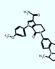 COc1ccc(-n2cc(C(N)=O)c3c2C(=O)N(c2ccc(N4C(=O)CCC4C)c(C)c2)CC3)cc1